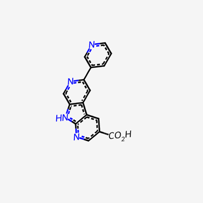 O=C(O)c1cnc2[nH]c3cnc(-c4cccnc4)cc3c2c1